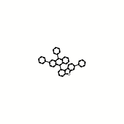 c1ccc(-c2ccc3c(c2)oc2cccc(-c4c5ccccc5c(-c5ccccc5)c5cc(-c6ccccc6)ccc45)c23)cc1